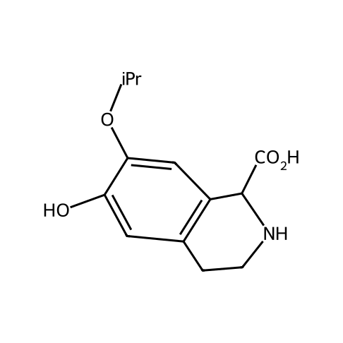 CC(C)Oc1cc2c(cc1O)CCNC2C(=O)O